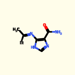 CC/C(C)=N\c1[nH]cnc1C(N)=O